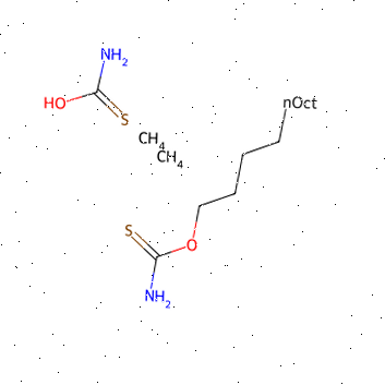 C.C.CCCCCCCCCCCCOC(N)=S.NC(O)=S